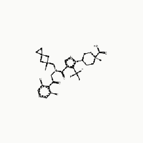 C[C@]1(C(=O)O)CC[C@H](n2ncc(C(=O)N(CC(=O)c3c(Cl)cncc3Cl)CC3(F)CC4(CC4)C3)c2C(F)(F)F)CC1